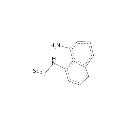 Nc1cccc2cccc(N[C]=S)c12